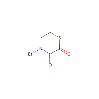 [CH2]CN1CCSC(=O)C1=O